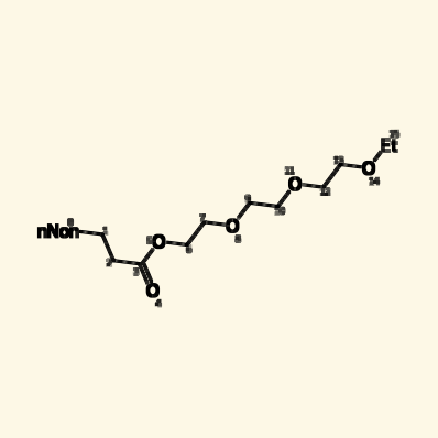 CCCCCCCCCCCC(=O)OCCOCCOCCOCC